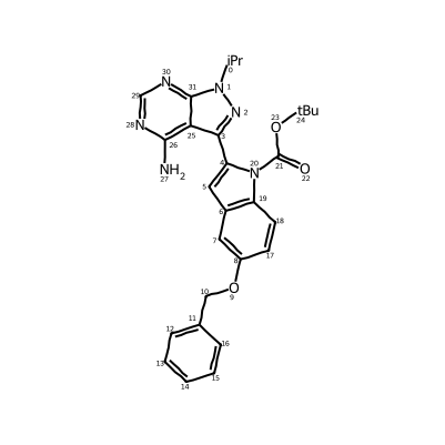 CC(C)n1nc(-c2cc3cc(OCc4ccccc4)ccc3n2C(=O)OC(C)(C)C)c2c(N)ncnc21